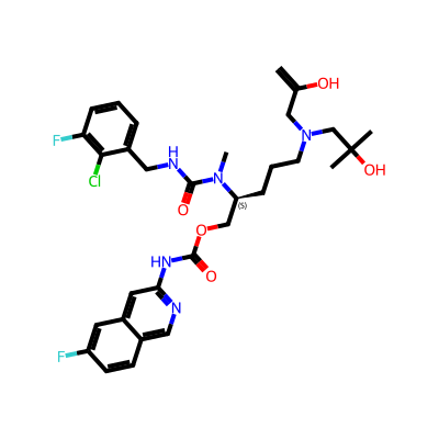 C=C(O)CN(CCC[C@@H](COC(=O)Nc1cc2cc(F)ccc2cn1)N(C)C(=O)NCc1cccc(F)c1Cl)CC(C)(C)O